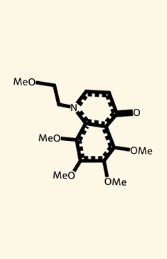 COCCn1ccc(=O)c2c(OC)c(OC)c(OC)c(OC)c21